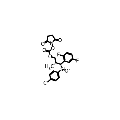 C[C@H](COC(=O)ON1C(=O)CCC1=O)[C@@H](c1cc(F)ccc1F)[S+]([O-])c1ccc(Cl)cc1